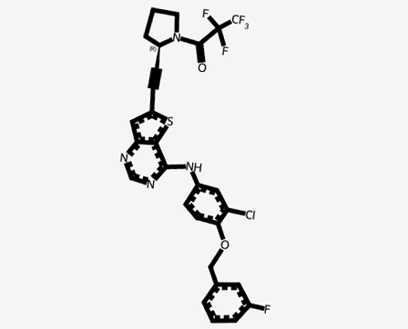 O=C(N1CCC[C@@H]1C#Cc1cc2ncnc(Nc3ccc(OCc4cccc(F)c4)c(Cl)c3)c2s1)C(F)(F)C(F)(F)F